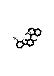 Cc1ccc2c(oc3c(C#N)cccc32)c1-c1c2ccccc2cc[n+]1C